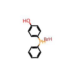 Br.Oc1ccc(Pc2ccccc2)cc1